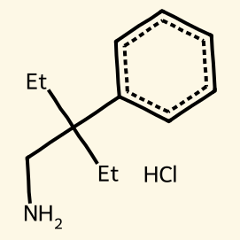 CCC(CC)(CN)c1ccccc1.Cl